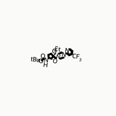 CCOC[C@]1(C(=O)N2CCN(c3cc(C(F)(F)F)ccn3)CC2)CC[C@@H](NC(=O)OC(C)(C)C)C1